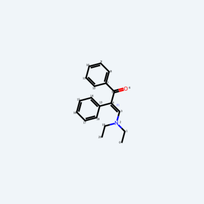 CCN(/C=C(/C(=O)c1ccccc1)c1ccccc1)CC